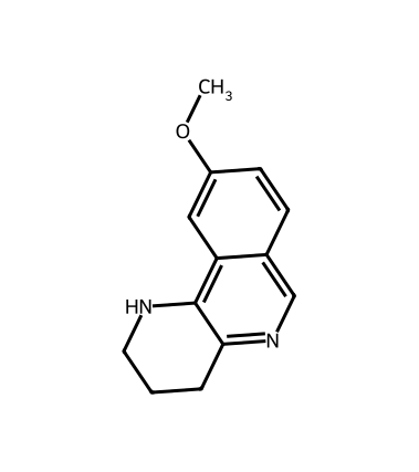 COc1ccc2cnc3c(c2c1)NCCC3